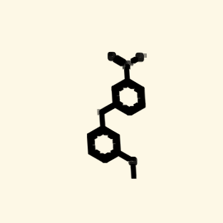 COc1cccc([C]c2cccc([N+](=O)[O-])c2)c1